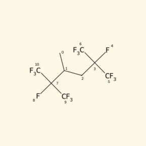 CC(CC(F)(C(F)(F)F)C(F)(F)F)C(F)(C(F)(F)F)C(F)(F)F